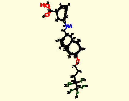 O=C(O)c1cccc(NCc2ccc3cc(OCCCC(F)(F)C(F)(F)F)ccc3c2)c1